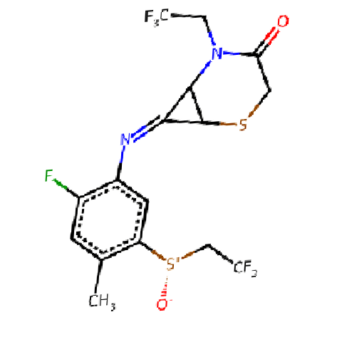 Cc1cc(F)c(/N=C2\C3SCC(=O)N(CC(F)(F)F)C23)cc1[S@@+]([O-])CC(F)(F)F